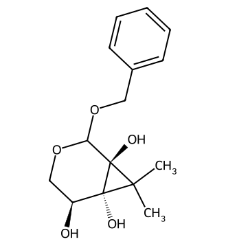 CC1(C)[C@@]2(O)C(OCc3ccccc3)OC[C@H](O)[C@]12O